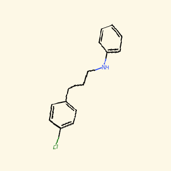 Clc1ccc(CCCNc2cc[c]cc2)cc1